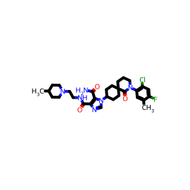 Cc1cc(N2CCCC3(CCC(n4cnc(C(=O)NCCN5CCC(C)CC5)c4C(N)=O)CC3)C2=O)c(Cl)cc1F